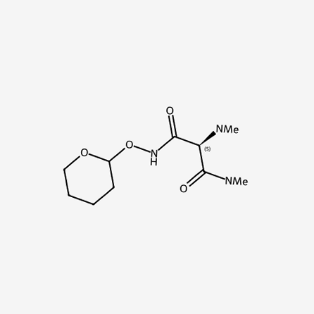 CNC(=O)[C@H](NC)C(=O)NOC1CCCCO1